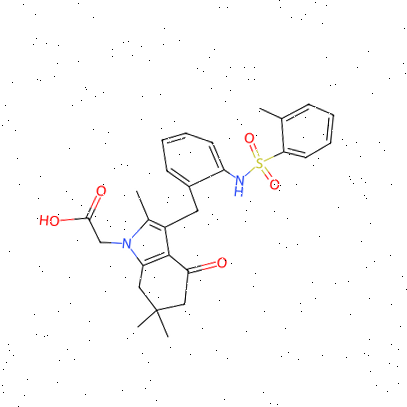 Cc1ccccc1S(=O)(=O)Nc1ccccc1Cc1c2c(n(CC(=O)O)c1C)CC(C)(C)CC2=O